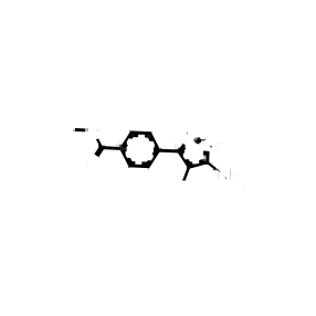 COC(=O)c1ccc(-c2n[nH]c(N)c2Cl)cc1